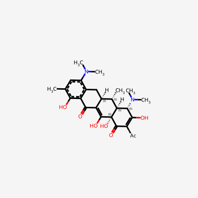 CC(=O)C1=C(O)[C@@H](N(C)C)[C@@H]2[C@@H](C)[C@@H]3Cc4c(N(C)C)cc(C)c(O)c4C(=O)C3=C(O)[C@]2(O)C1=O